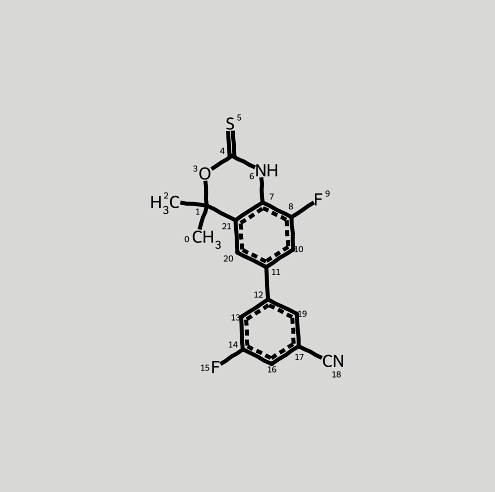 CC1(C)OC(=S)Nc2c(F)cc(-c3cc(F)cc(C#N)c3)cc21